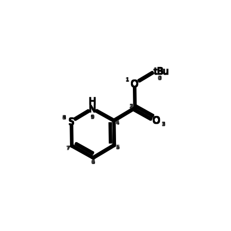 CC(C)(C)OC(=O)C1=CC=CSN1